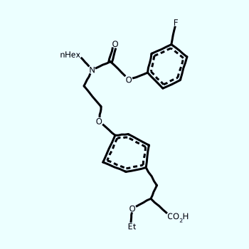 CCCCCCN(CCOc1ccc(CC(OCC)C(=O)O)cc1)C(=O)Oc1cccc(F)c1